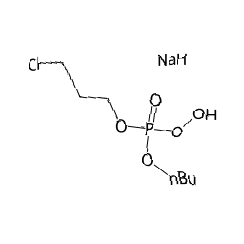 CCCCOP(=O)(OO)OCCCCl.[NaH]